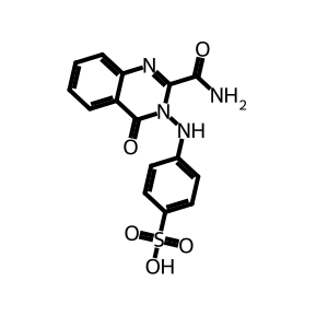 NC(=O)c1nc2ccccc2c(=O)n1Nc1ccc(S(=O)(=O)O)cc1